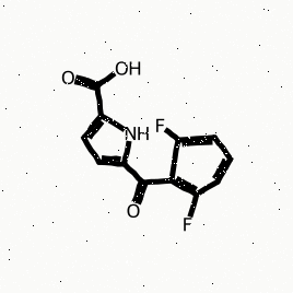 O=C(O)c1ccc(C(=O)c2c(F)cccc2F)[nH]1